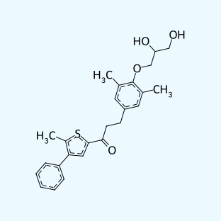 Cc1cc(CCC(=O)c2cc(-c3ccccc3)c(C)s2)cc(C)c1OCC(O)CO